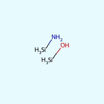 N[SiH3].O[SiH3]